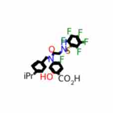 CC(C)c1ccc(CN(C(=O)CNSc2c(F)c(F)c(F)c(F)c2F)c2cc(O)c(C(=O)O)cc2F)cc1